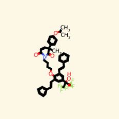 CC(C)Oc1ccc(C2(C)C=CC(=O)N(CCCCOc3c(/C=C/c4ccccc4)cc(C(O)(C(F)(F)F)C(F)(F)F)cc3/C=C/c3ccccc3)C2=O)cc1